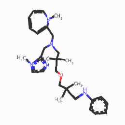 CN1C=CC=CC=C1CN(Cc1nccn1C)CC(C)(C)COCC(C)(C)CNc1ccccc1